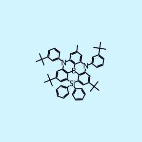 Cc1cc2c3c(c1)N(c1cccc(C(C)(C)C)c1)c1cc(C(C)(C)C)cc4c1B3c1c(cc(C(C)(C)C)cc1[Si]4(c1ccccc1)c1ccccc1)N2c1cccc(C(C)(C)C)c1